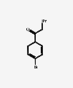 CC(C)CC(=O)C1C=CC(Br)=CC1